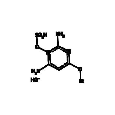 CCOc1cc(N)[n+](OS(=O)(=O)O)c(N)n1.[OH-]